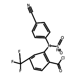 N#Cc1ccc(N(c2cc(C(F)(F)F)ccc2C(=O)Cl)[SH](=O)=O)cc1